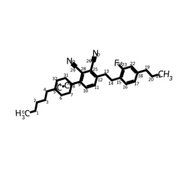 CCCCCC12CCC(c3ccc(CCc4ccc(CCC)cc4F)c(C#N)c3C#N)(CC1)CC2